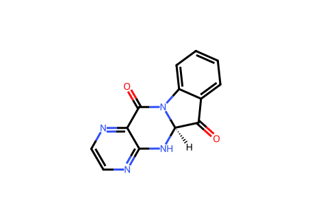 O=C1c2ccccc2N2C(=O)c3nccnc3N[C@H]12